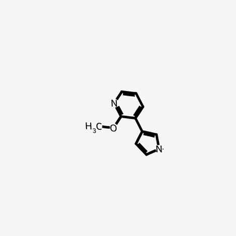 COc1ncccc1C1=C[N]C=C1